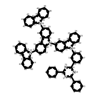 c1ccc(-c2nc(-c3ccccc3)nc(-c3cccc(-n4c5ccccc5c5cc(-n6c7ccc(-n8c9ccccc9c9ccccc98)cc7c7cc(-n8c9ccccc9c9ccccc98)ccc76)ccc54)c3)n2)cc1